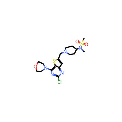 CN(C1CCN(Cc2cc3nc(Cl)nc(N4CCOCC4)c3s2)CC1)S(C)(=O)=O